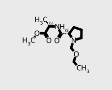 CCOCN1CCC[C@H]1C(=O)N[C@@H](C)C(=O)OC